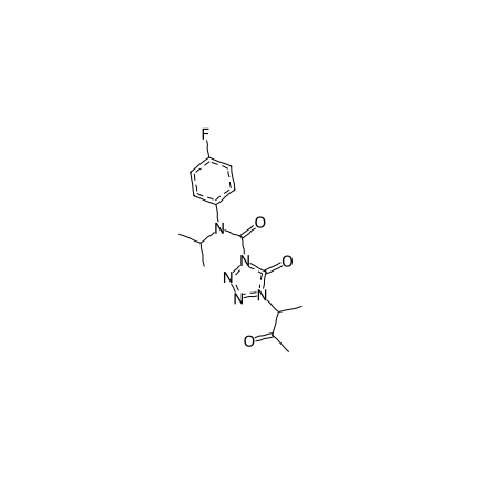 CC(=O)C(C)n1nnn(C(=O)N(c2ccc(F)cc2)C(C)C)c1=O